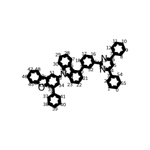 c1ccc(-c2cc(-c3ccccc3)nc(-c3cccc(-c4cccc5c4c4ccccc4n5-c4cc(-c5ccccc5)c5oc6ccccc6c5c4)c3)n2)cc1